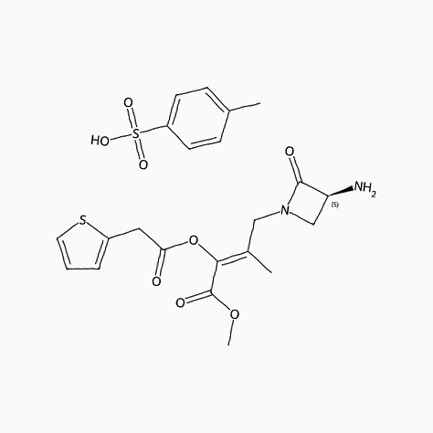 COC(=O)C(OC(=O)Cc1cccs1)=C(C)CN1C[C@H](N)C1=O.Cc1ccc(S(=O)(=O)O)cc1